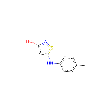 Cc1ccc(Nc2cc(O)ns2)cc1